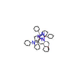 C=C/C=C\C(/C(=C\C(=C/C)c1nc(-c2ccccc2)nc(-c2ccccc2)n1)c1ccccc1)n1c2ccccc2c2ccc3c(c4ccccc4n3-c3ccccc3)c21